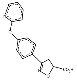 O=C(O)C1CC(c2ccc(Oc3ccccn3)cc2)=NO1